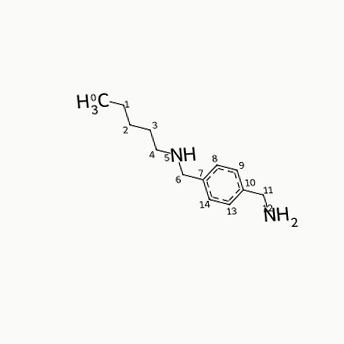 CCCCCNCc1ccc(CN)cc1